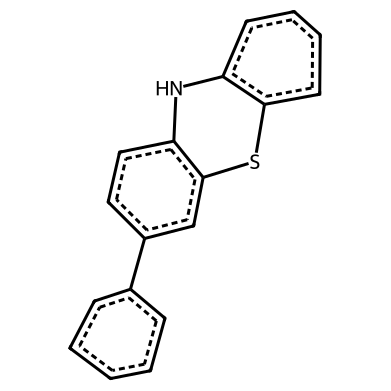 c1ccc(-c2ccc3c(c2)Sc2ccccc2N3)cc1